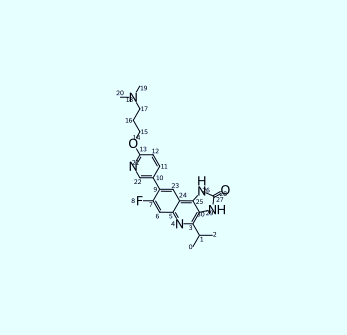 CC(C)c1nc2cc(F)c(-c3ccc(OCCCN(C)C)nc3)cc2c2[nH]c(=O)[nH]c12